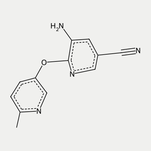 Cc1ccc(Oc2ncc(C#N)cc2N)cn1